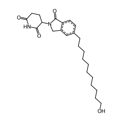 O=C1CCC(N2Cc3cc(CCCCCCCCCCCO)ccc3C2=O)C(=O)N1